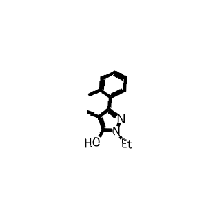 CCn1nc(-c2ccccc2C)c(C)c1O